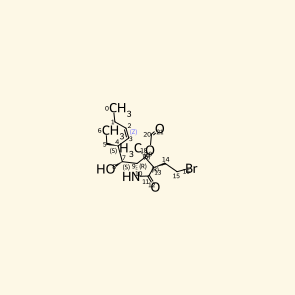 CC/C=C\[C@H](CC)[C@H](O)[C@H]1NC(=O)[C@H](CCBr)[C@]1(C)OC=O